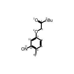 CCCCC(=O)COc1ccc(F)c(N=O)c1